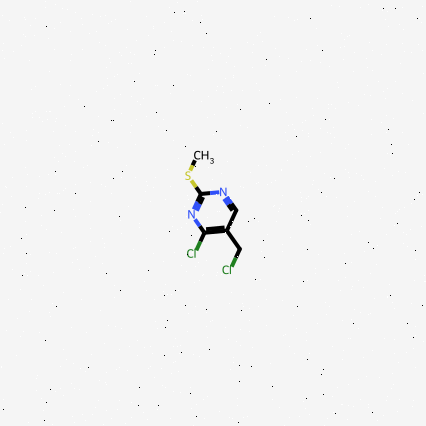 CSc1ncc(CCl)c(Cl)n1